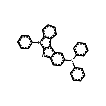 c1ccc(N(c2ccccc2)c2ccc3oc4c(c3c2)c2ccccc2n4-c2ccccc2)cc1